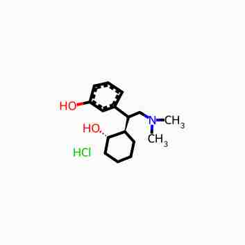 CN(C)CC(c1cccc(O)c1)[C@H]1CCCC[C@@H]1O.Cl